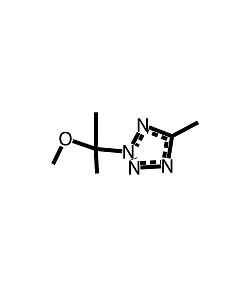 COC(C)(C)n1nnc(C)n1